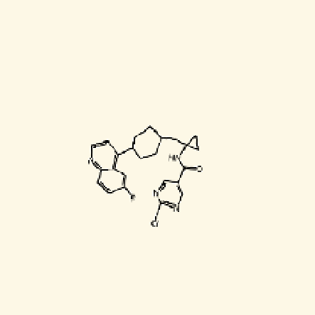 O=C(NC1(CC2CCC(c3ccnc4ccc(F)cc34)CC2)CC1)c1cnc(Cl)nc1